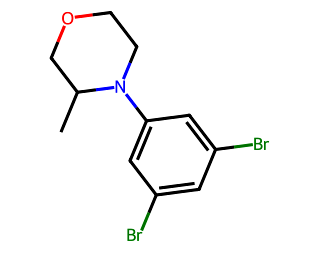 CC1COCCN1c1cc(Br)cc(Br)c1